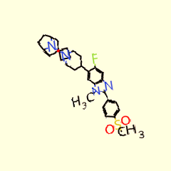 Cn1c(-c2ccc(S(C)(=O)=O)cc2)nc2cc(F)c(C3CCN(C4CC5CCC(C4)N5C4CCC4)CC3)cc21